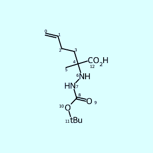 C=CCCC(C)(NNC(=O)OC(C)(C)C)C(=O)O